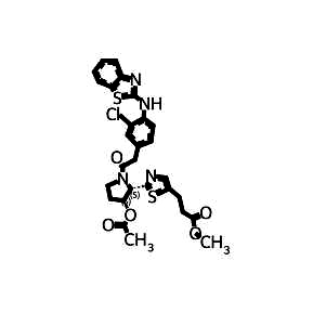 COC(=O)CCc1cnc([C@@H]2[C@@H](OC(C)=O)CCN2C(=O)Cc2ccc(Nc3nc4ccccc4s3)c(Cl)c2)s1